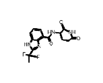 CC(F)(F)c1nc2c(C(=O)NC3CCC(=O)NC3=O)cccc2[nH]1